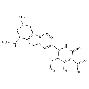 CCc1c(-c2ccn3c4c(cc3c2)C(NC)CC(N)C4)[nH]c(=O)c(C(=O)O)c1O